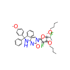 CCCCOC[C@@]1(C(C)F)O[C@@H](n2ccc(NC(c3ccccc3)(c3ccccc3)c3ccc(OC)cc3)nc2=O)[C@H](F)[C@@H]1OCCCC